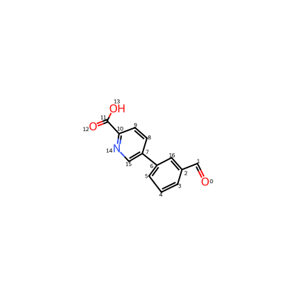 O=Cc1cccc(-c2ccc(C(=O)O)nc2)c1